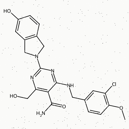 COc1ccc(CNc2nc(N3Cc4ccc(O)cc4C3)nc(CO)c2C(N)=O)cc1Cl